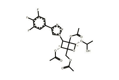 CC(=O)OCC12O[C@@H](OC(C)O)C1(OC(C)=O)C(n1cc(-c3cc(F)c(F)c(F)c3)nn1)[C@H]2OC(C)=O